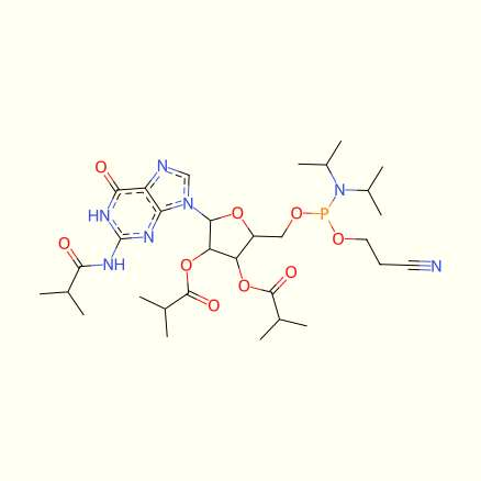 CC(C)C(=O)Nc1nc2c(ncn2C2OC(COP(OCCC#N)N(C(C)C)C(C)C)C(OC(=O)C(C)C)C2OC(=O)C(C)C)c(=O)[nH]1